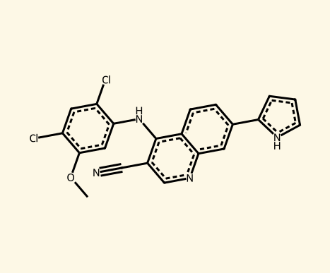 COc1cc(Nc2c(C#N)cnc3cc(-c4ccc[nH]4)ccc23)c(Cl)cc1Cl